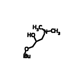 CCC(C)OCC(O)CN(C)C